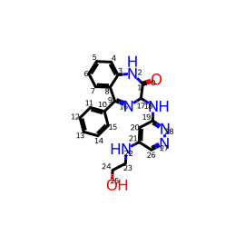 O=C1Nc2ccccc2C(c2ccccc2)=NC1Nc1cc(NCCO)cnn1